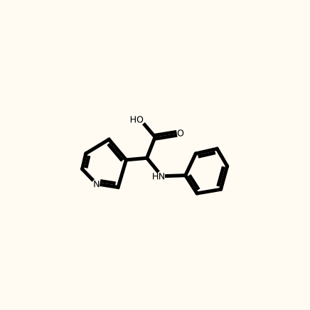 O=C(O)C(Nc1ccccc1)c1cccnc1